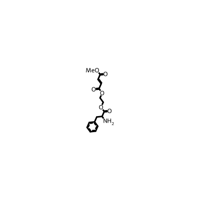 COC(=O)C=CC(=O)OCCOC(=O)C(N)Cc1ccccc1